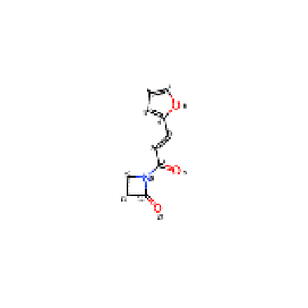 O=C(/C=C/c1ccco1)N1CCC1=O